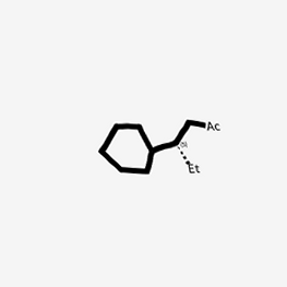 CC[C@@H](CC(C)=O)C1CCCCC1